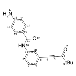 CC(C)(C)C(=O)C#Cc1cccc(NC(=O)c2ccc(N)cc2)c1